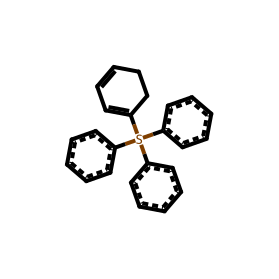 C1=CCCC(S(c2ccccc2)(c2ccccc2)c2ccccc2)=C1